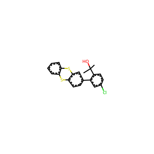 CC(C)(O)c1ccc(Cl)cc1-c1ccc2c(c1)Sc1ccccc1S2